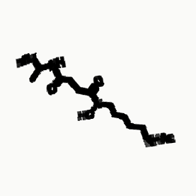 CCCCC(C)NC(=O)CCC(=O)N(O)CCCCCNC(C)=O